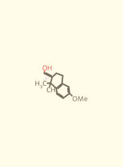 COc1ccc2c(c1)CC/C(=C\O)C2(C)C